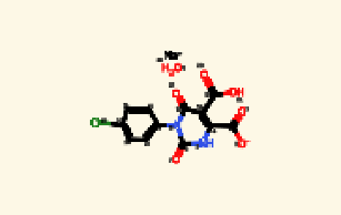 O.O=C([O-])c1[nH]c(=O)n(-c2ccc(Cl)cc2)c(=O)c1C(=O)O.[Na+]